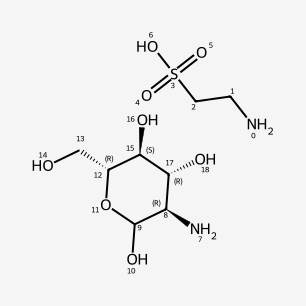 NCCS(=O)(=O)O.N[C@H]1C(O)O[C@H](CO)[C@@H](O)[C@@H]1O